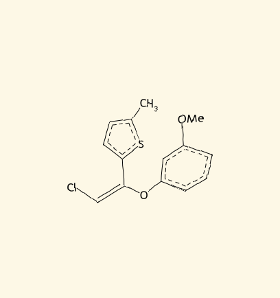 COc1cccc(OC(=CCl)c2ccc(C)s2)c1